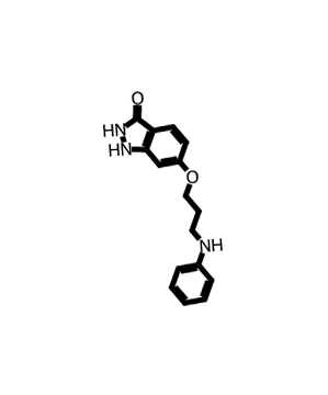 O=c1[nH][nH]c2cc(OCCCNc3ccccc3)ccc12